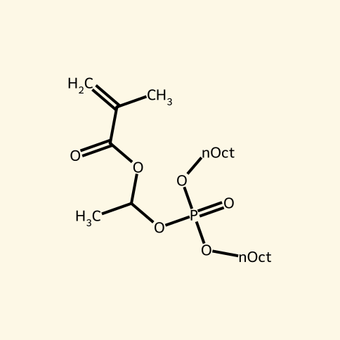 C=C(C)C(=O)OC(C)OP(=O)(OCCCCCCCC)OCCCCCCCC